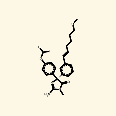 COCCCC/C=C/c1cccc([C@@]2(c3ccc(OC(F)F)cc3)N=C(N)N(C)C2=O)c1